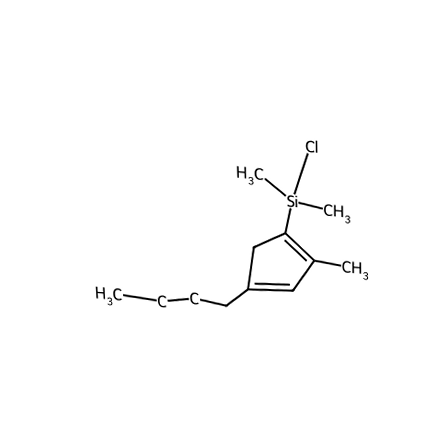 CCCCC1=CC(C)=C([Si](C)(C)Cl)C1